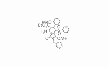 CCOC(=O)C1=C(N)n2c(s/c(=C\c3ccccc3OC)c2=O)=C(S(=O)(=O)c2ccccc2)C1c1ccccc1OC